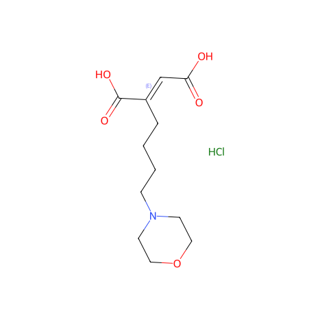 Cl.O=C(O)/C=C(\CCCCN1CCOCC1)C(=O)O